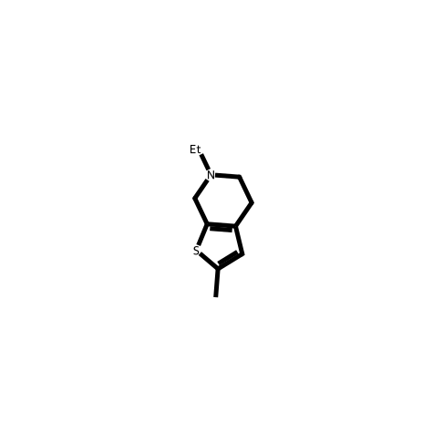 CCN1CCc2cc(C)sc2C1